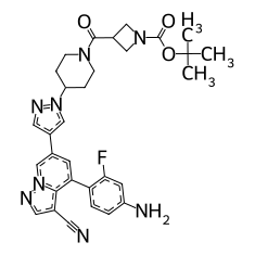 CC(C)(C)OC(=O)N1CC(C(=O)N2CCC(n3cc(-c4cc(-c5ccc(N)cc5F)c5c(C#N)cnn5c4)cn3)CC2)C1